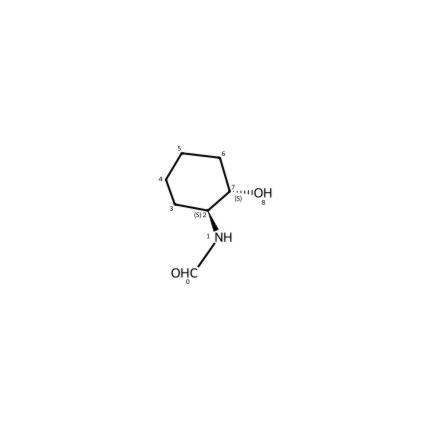 O=CN[C@H]1CCCC[C@@H]1O